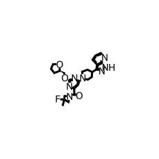 CC1(F)CN(C(=O)c2cc(N3CCC(c4n[nH]c5ncccc45)CC3)nc(OC[C@H]3CCCO3)n2)C1